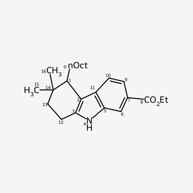 CCCCCCCCC1c2c([nH]c3cc(C(=O)OCC)ccc23)CCC1(C)C